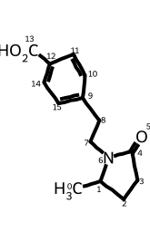 CC1CCC(=O)N1CCc1ccc(C(=O)O)cc1